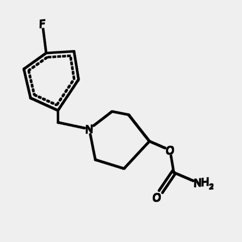 NC(=O)OC1CCN(Cc2ccc(F)cc2)CC1